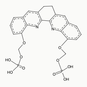 O=P(O)(O)OCOc1cccc2cc3c(nc12)-c1nc2c(OCOP(=O)(O)O)cccc2cc1CC3